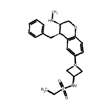 CCS(=O)(=O)NC1CN(c2ccc3c(c2)[C@@H](Cc2ccccc2)[C@@H](NC)CO3)C1